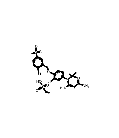 CC1(C)N=C(N)N=C(N)N1c1ccc(OCc2cc(S(=O)(=O)F)ccc2Cl)c(Cl)c1.CCS(=O)(=O)O